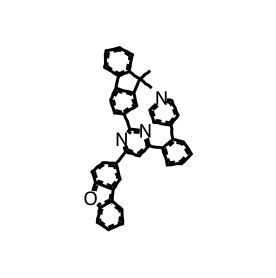 CC1(C)c2ccccc2-c2ccc(-c3nc(-c4ccc5oc6ccccc6c5c4)cc(-c4ccccc4-c4ccncc4)n3)cc21